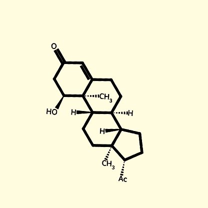 CC(=O)[C@H]1CC[C@H]2[C@@H]3CCC4=CC(=O)C[C@H](O)[C@]4(C)[C@H]3CC[C@]12C